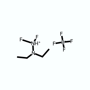 CCN(CC)[NH+](F)F.F[B-](F)(F)F